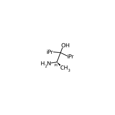 CC(C)C(O)(C(C)C)[C@@H](C)N